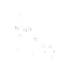 CC(C)S(=O)(=O)N1CCN(c2cnn(-c3cc(Cl)ccn3)c(=O)c2-c2cc(F)cc(F)c2)CC1